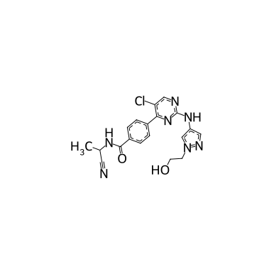 CC(C#N)NC(=O)c1ccc(-c2nc(Nc3cnn(CCO)c3)ncc2Cl)cc1